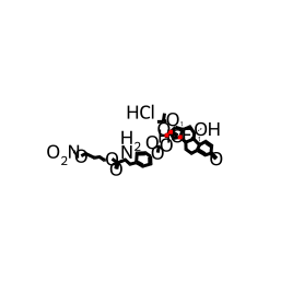 CC1(C)O[C@@H]2CC3C4CCC5=CC(=O)C=C[C@]5(C)[C@@]4(F)[C@@H](O)C[C@]3(C)[C@]2(C(=O)COC(=O)Oc2ccc(C[C@H](N)C(=O)OCCCCO[N+](=O)[O-])cc2)O1.Cl